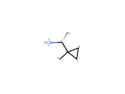 C[C@@H](N)C1(C)CC1